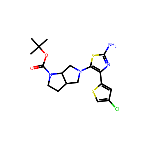 CC(C)(C)OC(=O)N1CCC2CN(c3sc(N)nc3-c3cc(Cl)cs3)CC21